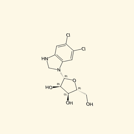 OC[C@H]1O[C@@H](N2CNc3cc(Cl)c(Cl)cc32)[C@H](O)[C@@H]1O